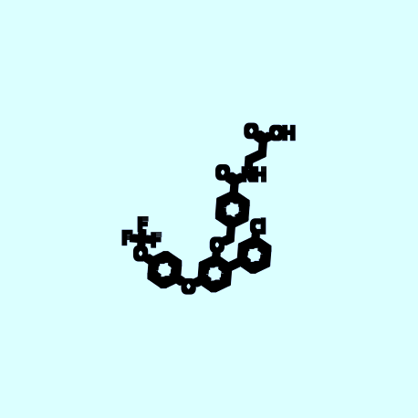 O=C(O)CCNC(=O)c1ccc(COc2cc(Oc3ccc(OC(F)(F)F)cc3)ccc2-c2cccc(Cl)c2)cc1